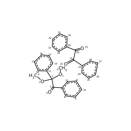 COC(OC)(C(=O)c1ccccc1)c1ccccc1.O=C(C(=O)c1ccccc1)c1ccccc1